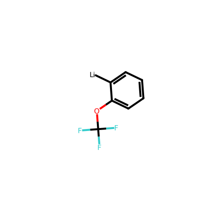 [Li][c]1ccccc1OC(F)(F)F